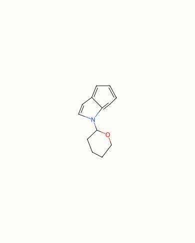 c1ccc2c(c1)ccn2C1CCCCO1